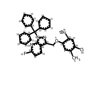 Cc1cc(OCc2nn(C(c3ccccc3)(c3ccccc3)c3ccccc3)c3nc(F)ccc23)c(C(C)(C)C)cc1Cl